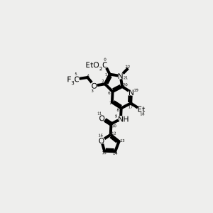 CCOC(=O)c1c(OCC(F)(F)F)c2cc(NC(=O)c3ccco3)c(CC)nc2n1C